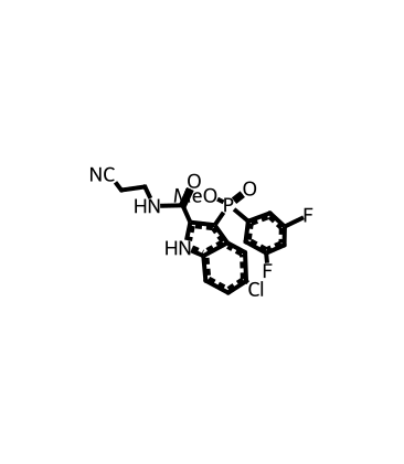 COP(=O)(c1cc(F)cc(F)c1)c1c(C(=O)NCCC#N)[nH]c2ccc(Cl)cc12